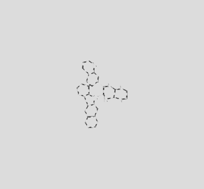 c1ccc2cc3c(cc2c1)c1ccccc1n3-c1nc2nccnc2nc1-c1ccc2cccnc2c1